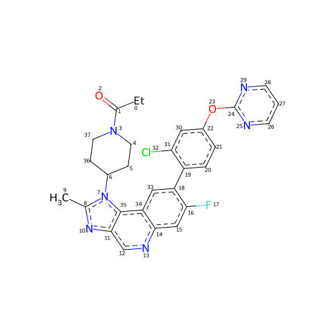 CCC(=O)N1CCC(n2c(C)nc3cnc4cc(F)c(-c5ccc(Oc6ncccn6)cc5Cl)cc4c32)CC1